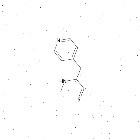 CNC([C]=S)Cc1ccncc1